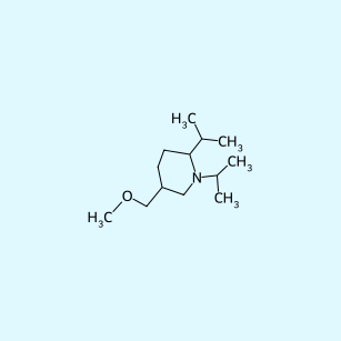 COCC1CCC(C(C)C)N(C(C)C)C1